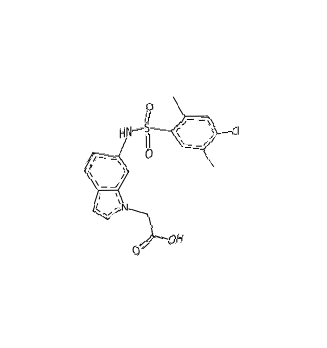 Cc1cc(S(=O)(=O)Nc2ccc3ccn(CC(=O)O)c3c2)c(C)cc1Cl